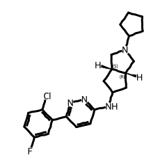 Fc1ccc(Cl)c(-c2ccc(NC3C[C@@H]4CN(C5CCCC5)C[C@@H]4C3)nn2)c1